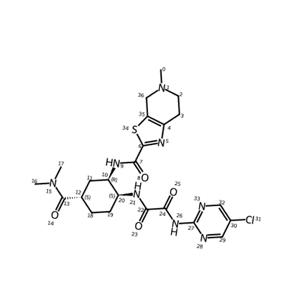 CN1CCc2nc(C(=O)N[C@@H]3C[C@@H](C(=O)N(C)C)CC[C@@H]3NC(=O)C(=O)Nc3ncc(Cl)cn3)sc2C1